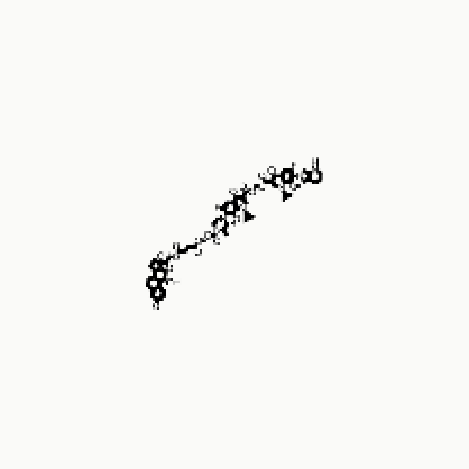 COc1c(N2CC3CCCNC3C2)c(F)cc2c(=O)c(C(=O)OCOC(=O)c3cn(C4CC4)c4c(OC)c(N5CCN(C(=O)OCOC(=O)CCC(=O)OCC(=O)[C@@]6(O)CCC7C8CCC9=CC(=O)C=C[C@]9(C)C8[C@@H](O)C[C@@]76C)C(C)C5)c(F)cc4c3=O)cn(C3CC3)c12